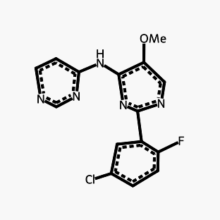 COc1cnc(-c2cc(Cl)ccc2F)nc1Nc1ccncn1